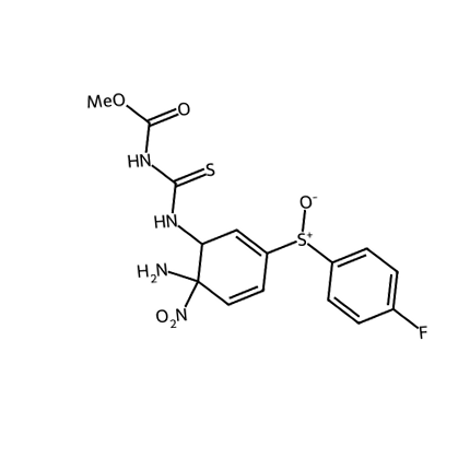 COC(=O)NC(=S)NC1C=C([S+]([O-])c2ccc(F)cc2)C=CC1(N)[N+](=O)[O-]